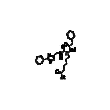 CCC(=O)CCCCC[C@H](NC(=O)Cc1ccccc1)C(=O)NCc1csc(-c2ccccc2)n1